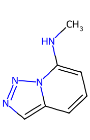 CNc1cccc2cnnn12